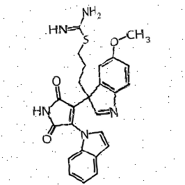 COc1ccc2c(c1)C(CCCSC(=N)N)(C1=C(n3ccc4ccccc43)C(=O)NC1=O)C=N2